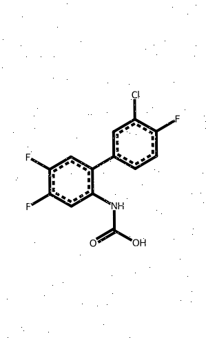 O=C(O)Nc1cc(F)c(F)cc1-c1ccc(F)c(Cl)c1